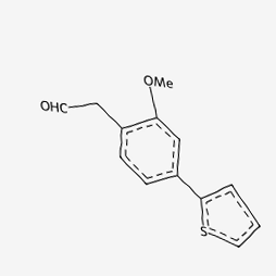 COc1cc(-c2cccs2)ccc1CC=O